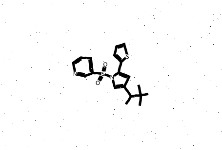 C[C](c1cc(-c2cccs2)n(S(=O)(=O)c2cccnc2)c1)C(C)(C)C